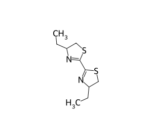 CCC1CSC(C2=NC(CC)CS2)=N1